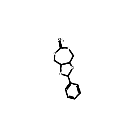 C=C1OCC2OC(c3ccccc3)OC2CO1